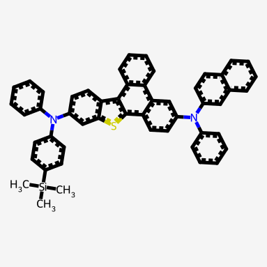 C[Si](C)(C)c1ccc(N(c2ccccc2)c2ccc3c(c2)sc2c4ccc(N(c5ccccc5)c5ccc6ccccc6c5)cc4c4ccccc4c32)cc1